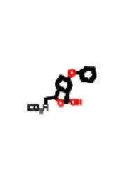 O=C(O)C[C@@H]1OB(O)c2cc(Oc3ccccc3)ccc21